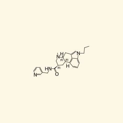 CCCn1cc2c3c(cccc31)[C@H]1C[C@@H](C(=O)NCc3cccnc3)CN(C)[C@@H]1C2